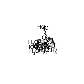 CC(C)(C)c1cc(O)cc(C(C)(C)C)c1O.CC(C)(C)c1cc(O)cc(C(C)(C)C)c1O.O=C(O)CCCCC(=O)O